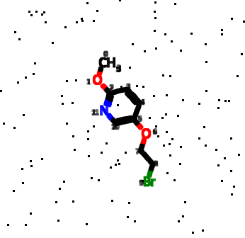 COc1ccc(OCCBr)cn1